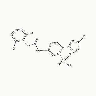 NS(=O)(=O)c1cc(NC(=O)Cc2c(F)cccc2Cl)ccc1-n1cc(Cl)cn1